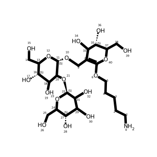 NCCCCCOC1=C(CO[C@H]2OC(CO)[C@@H](O)C(O)C2O[C@@H]2OC(CO)[C@@H](O)C(O)C2O)C(O)[C@H](O)C(CO)O1